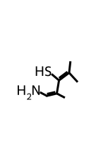 CC(C)=C(S)/C(C)=C\N